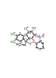 C=C[Si](COc1ccccc1[N+](=O)[O-])(c1ccc(Cl)c(Cl)c1)c1ccc(Cl)c(Cl)c1